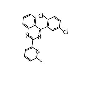 Cc1cccc(-c2nc(-c3cc(Cl)ccc3Cl)c3ccccc3n2)n1